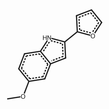 COc1ccc2[nH]c(-c3ccco3)cc2c1